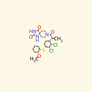 C=C(C(=O)N1CCC2(CC1)NC(=O)NC2=O)c1ccc(Sc2ccccc2OC)c(Cl)c1Cl